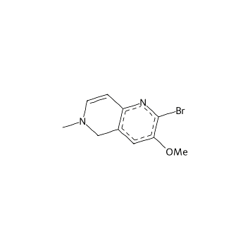 COc1cc2c(nc1Br)C=CN(C)C2